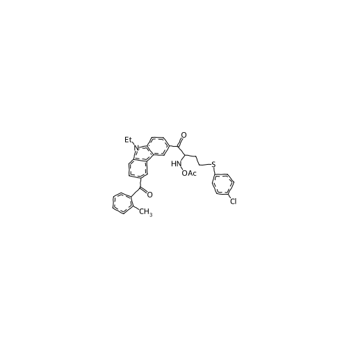 CCn1c2ccc(C(=O)c3ccccc3C)cc2c2cc(C(=O)C(CCSc3ccc(Cl)cc3)NOC(C)=O)ccc21